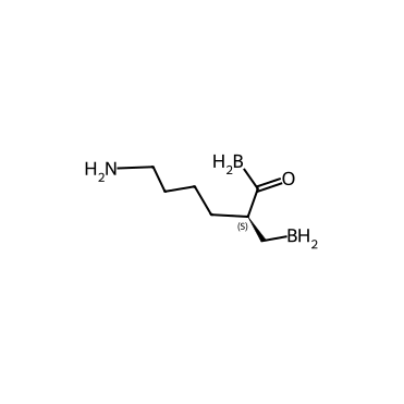 BC[C@@H](CCCCN)C(B)=O